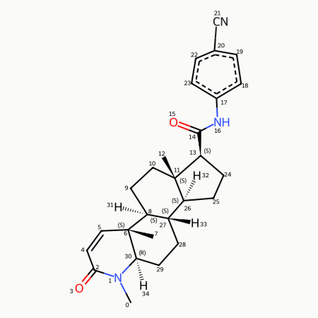 CN1C(=O)C=C[C@]2(C)[C@H]3CC[C@]4(C)[C@@H](C(=O)Nc5ccc(C#N)cc5)CC[C@H]4[C@@H]3CC[C@@H]12